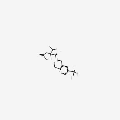 CC(C)C1(C(=O)N2CCc3ncc(C(F)(F)F)cc3C2)CC(=O)CO1